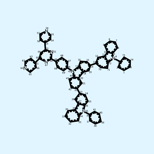 c1ccc(-n2c3ccccc3c3cc(-c4ccc5c(c4)c4cc(-c6ccc7c(c6)c6ccccc6n7-c6ccccc6)ccc4n5-c4ccc(-c5nc(-c6ccncc6)cc(-c6ccncc6)n5)cc4)ccc32)cc1